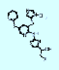 Cn1cncc1Oc1cc(Sc2ccccn2)cnc1Nc1nc(C(O)CO)cs1